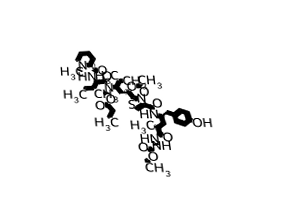 CCCC(=O)OCN(C(=O)[C@@H](NC(=O)[C@H]1CCCCN1C)C(C)CC)C(C[C@@H](OC(C)=O)c1nc(C(=O)N[C@@H](Cc2ccc(O)cc2)C[C@H](C)C(=O)NNC(=O)OCC)cs1)C(C)C